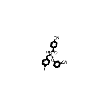 N#Cc1ccc(C(=O)N[C@@H](COc2cccc(C#N)c2)Cc2ccc(I)cc2)cc1